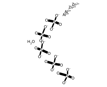 O.O=S(=O)([O-])[O-].O=S(=O)([O-])[O-].O=S(=O)([O-])[O-].O=S(=O)([O-])[O-].O=S(=O)([O-])[O-].[Al+3].[Al+3].[Zn+2].[Zn+2]